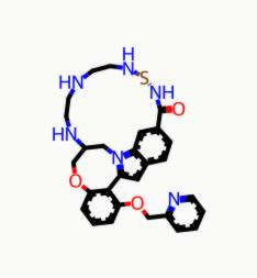 O=C1NSNCCNCCNC2COc3cccc(OCc4ccccn4)c3-c3cc4ccc1cc4n3C2